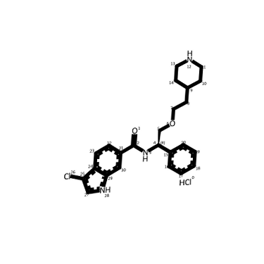 Cl.O=C(N[C@@H](COCCC1CCNCC1)c1ccccc1)c1ccc2c(Cl)c[nH]c2c1